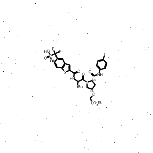 CCOC(=O)CO[C@H]1C[C@@H](C(=O)Nc2ccc(I)cc2)N(C(=O)C(NC(=O)c2cc3cc(C(F)(F)P(=O)(O)O)ccc3s2)C(C)(C)C)C1